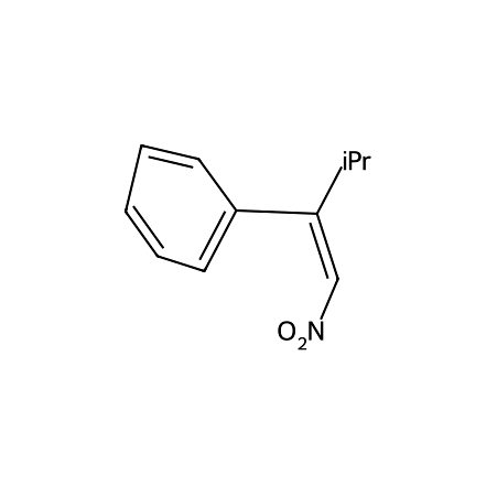 CC(C)/C(=C/[N+](=O)[O-])c1ccccc1